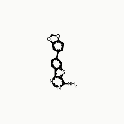 Nc1ncnc2c1sc1cc(-c3ccc4c(c3)OCO4)ccc12